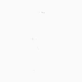 CCCCCCC=CCC(O)CCCCCCCC(=O)O